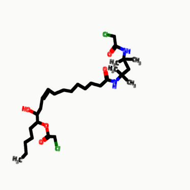 CCCCCC(OC(=O)CCl)C(O)C/C=C\CCCCCCCC(=O)NC(C)(C)CC(C)(C)NC(=O)CCl